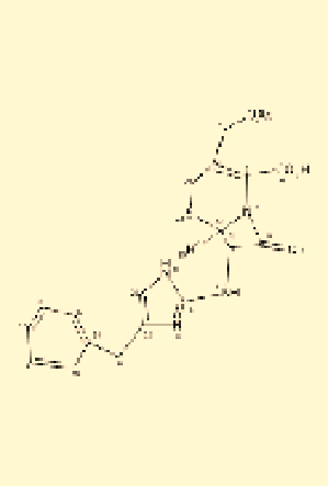 CC(=O)OCC1=C(C(=O)O)N2C(=O)C(Nc3nc(Cc4ccccc4)c[nH]3)[C@H]2SC1